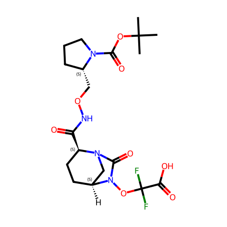 CC(C)(C)OC(=O)N1CCC[C@H]1CONC(=O)[C@@H]1CC[C@H]2CN1C(=O)N2OC(F)(F)C(=O)O